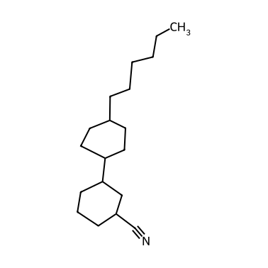 CCCCCCC1CCC(C2CCCC(C#N)C2)CC1